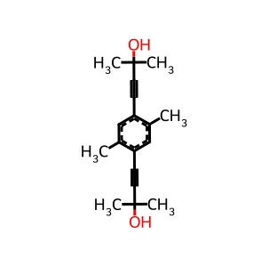 Cc1cc(C#CC(C)(C)O)c(C)cc1C#CC(C)(C)O